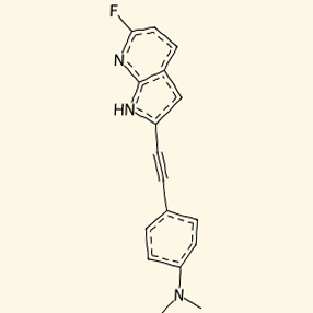 CN(C)c1ccc(C#Cc2cc3ccc(F)nc3[nH]2)cc1